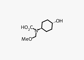 COCN(C(=O)O)[C@H]1CC[C@H](O)CC1